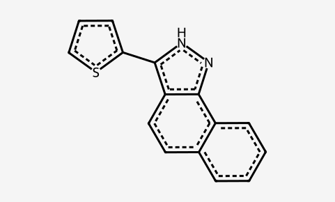 c1csc(-c2[nH]nc3c2ccc2ccccc23)c1